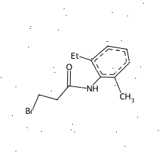 CCc1cccc(C)c1NC(=O)CCBr